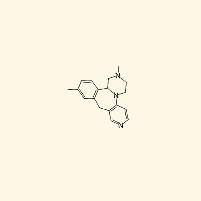 Cc1ccc2c(c1)Cc1cnccc1N1CCN(C)CC21